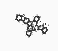 C[Si]1(C)c2ccccc2-c2nc(-c3ccccc3)nc(-c3ccccc3-n3c4ccccc4c4cc5c(cc43)oc3ccccc35)c21